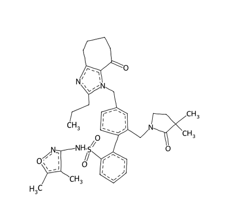 CCCc1nc2c(n1Cc1ccc(-c3ccccc3S(=O)(=O)Nc3noc(C)c3C)c(CN3CCC(C)(C)C3=O)c1)C(=O)CCCC2